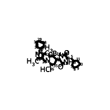 CCCCN1C(=O)[C@H](CC2CCCCC2)NC(=O)C1C1CCN(Cc2c(C)nn(-c3ccccc3)c2C)CC1.Cl